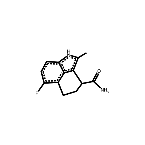 Cc1[nH]c2ccc(F)c3c2c1C(C(N)=O)CC3